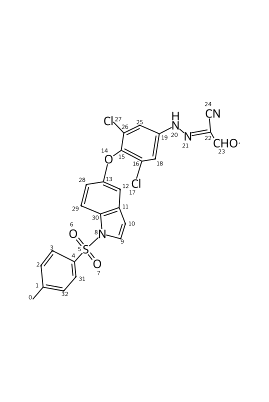 Cc1ccc(S(=O)(=O)n2ccc3cc(Oc4c(Cl)cc(NN=C([C]=O)C#N)cc4Cl)ccc32)cc1